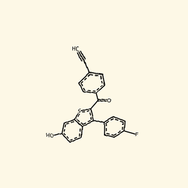 C#Cc1ccc(C(=O)c2sc3cc(O)ccc3c2-c2ccc(F)cc2)cc1